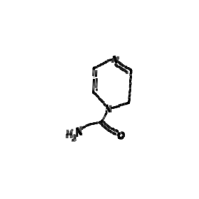 NC(=O)N1C=CN=CC1